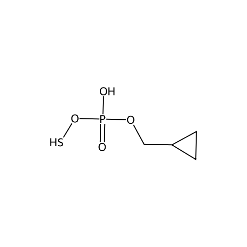 O=P(O)(OS)OCC1CC1